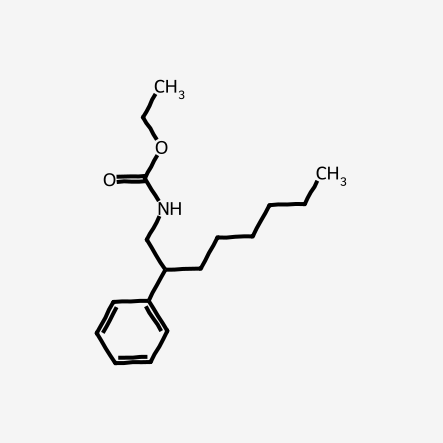 CCCCCCC(CNC(=O)OCC)c1ccccc1